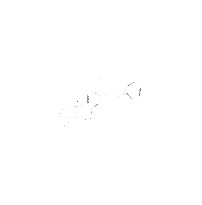 CCCN1CCO[C@@H]2c3cc(OC)c(OCc4ccccc4)cc3CC[C@H]21.Cl